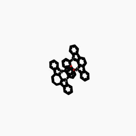 C1=Cc2c(n(-c3ccc(-n4c5ccccc5c5ccc6c7ccccc7n(-c7ccccc7)c6c54)cc3)c3ccccc23)-c2c(c3ccccc3n2-c2ccccc2)C1